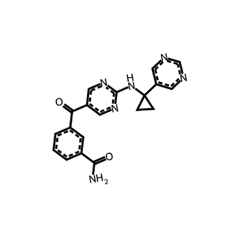 NC(=O)c1cccc(C(=O)c2cnc(NC3(c4cncnc4)CC3)nc2)c1